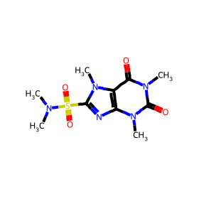 CN(C)S(=O)(=O)c1nc2c(c(=O)n(C)c(=O)n2C)n1C